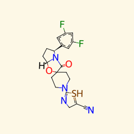 N#CC1=[SH]C(N2CCC3(CC2)O[C@@H]2CC[C@@H](c4cc(F)cc(F)c4)N2C3=O)=NC1